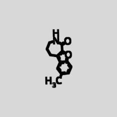 Cc1ccc2oc3c(c2c1)CCCNC3=O